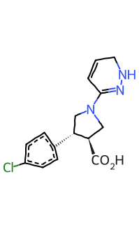 O=C(O)[C@@H]1CN(C2=NNCC=C2)C[C@H]1c1ccc(Cl)cc1